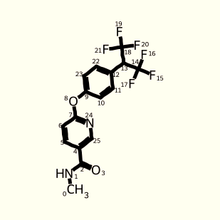 CNC(=O)c1ccc(Oc2ccc(C(C(F)(F)F)C(F)(F)F)cc2)nc1